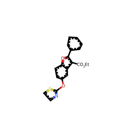 CCOC(=O)c1c(-c2ccccc2)oc2ccc(Oc3nccs3)cc12